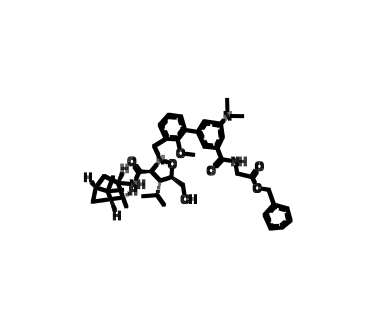 COc1c(CN2O[C@@H](CO)[C@H](C(C)C)[C@H]2C(=O)N[C@H]2C[C@H]3C[C@@H]([C@@H]2C)C3(C)C)cccc1-c1cc(C(=O)NCC(=O)OCc2ccccc2)cc(N(C)C)c1